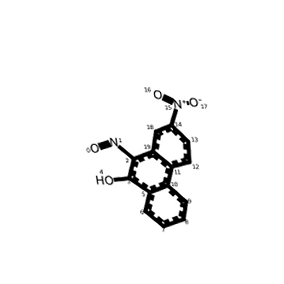 O=Nc1c(O)c2ccccc2c2ccc([N+](=O)[O-])cc12